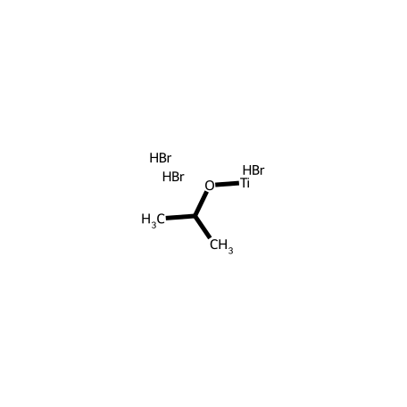 Br.Br.Br.CC(C)[O][Ti]